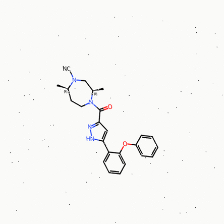 C[C@@H]1CCN(C(=O)c2cc(-c3ccccc3Oc3ccccc3)[nH]n2)[C@H](C)CN1C#N